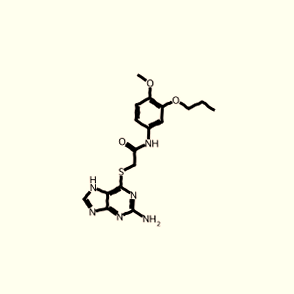 CCCOc1cc(NC(=O)CSc2nc(N)nc3nc[nH]c23)ccc1OC